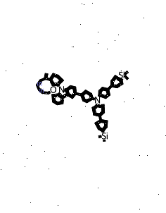 C=C1/C=C\C=C/COc2c1cccc2-n1c2ccccc2c2cc(-c3ccc(N(c4ccc(-c5ccc([Si](C)(C)C)cc5)cc4)c4ccc(-c5ccc([Si](C)(C)C)cc5)cc4)cc3)ccc21